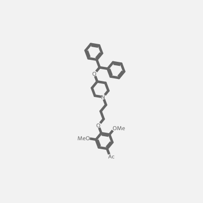 COc1cc(C(C)=O)cc(OC)c1OCCCN1CCC(OC(c2ccccc2)c2ccccc2)CC1